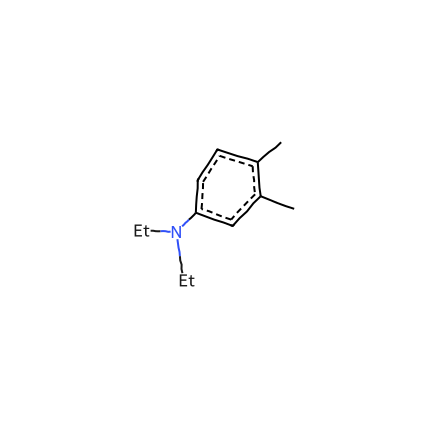 CCN(CC)c1ccc(C)c(C)c1